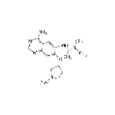 CC(Nc1cc2c(N)ncnc2cc1O[C@@H]1CCN(C)C1)N(C)C